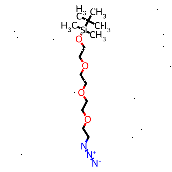 CC(C)(C)[Si](C)(C)OCCOCCOCCOCCN=[N+]=[N-]